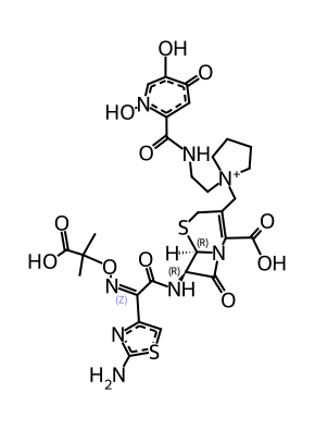 CC(C)(O/N=C(\C(=O)N[C@@H]1C(=O)N2C(C(=O)O)=C(C[N+]3(CCNC(=O)c4cc(=O)c(O)cn4O)CCCC3)CS[C@H]12)c1csc(N)n1)C(=O)O